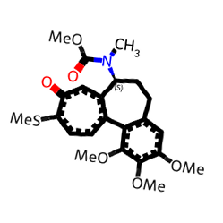 COC(=O)N(C)[C@H]1CCc2cc(OC)c(OC)c(OC)c2-c2ccc(SC)c(=O)cc21